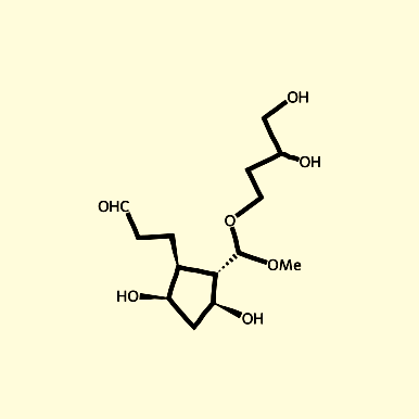 COC(OCCC(O)CO)[C@H]1[C@H](CCC=O)[C@H](O)C[C@@H]1O